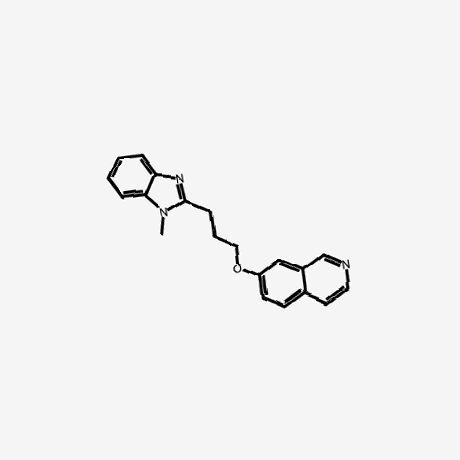 Cn1c(CCCOc2ccc3ccncc3c2)nc2ccccc21